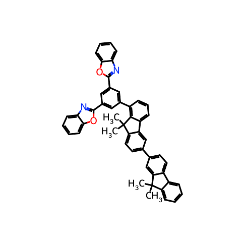 CC1(C)c2ccccc2-c2ccc(-c3ccc4c(c3)-c3cccc(-c5cc(-c6nc7ccccc7o6)cc(-c6nc7ccccc7o6)c5)c3C4(C)C)cc21